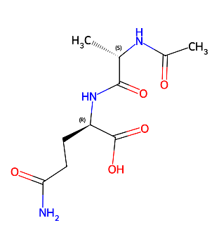 CC(=O)N[C@@H](C)C(=O)N[C@H](CCC(N)=O)C(=O)O